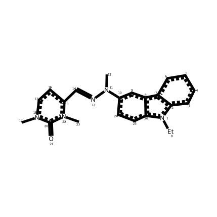 CCn1c2ccccc2c2cc(N(C)N=Cc3cc[n+](C)c(=O)n3C)ccc21